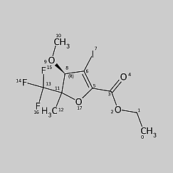 CCOC(=O)C1=C(I)[C@H](OC)C(C)(C(F)(F)F)O1